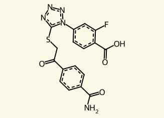 NC(=O)c1ccc(C(=O)CSc2nnnn2-c2ccc(C(=O)O)c(F)c2)cc1